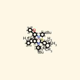 CC(C)(C)c1ccc(N2B3c4sc5cc6c(cc5c4N(c4ccc(C(C)(C)C)cc4)c4cc5c(c(c43)-c3cc4c(cc32)oc2ccccc24)C(C)(C)c2ccccc2-5)C(C)(C)CCC6(C)C)cc1